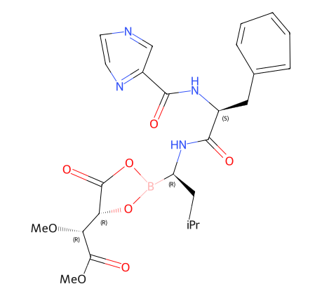 COC(=O)[C@H](OC)[C@H]1OB([C@H](CC(C)C)NC(=O)[C@H](Cc2ccccc2)NC(=O)c2cnccn2)OC1=O